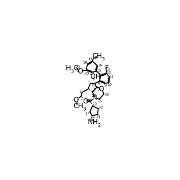 COCCCC[C@@](O)(c1cccc(F)c1-c1cc(C)cc(OC)c1)C1CN(C(=O)[C@@H]2CC[C@H](N)C2)CCO1